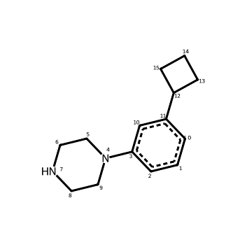 [c]1ccc(N2CCNCC2)cc1C1CCC1